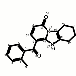 Cc1ccccc1C(=O)c1ccc(=O)n2c3c([nH]c12)CCCC3